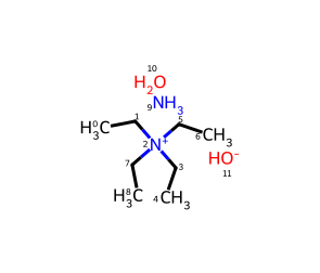 CC[N+](CC)(CC)CC.N.O.[OH-]